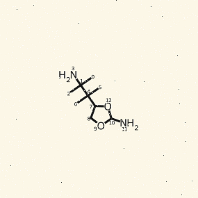 CC(C)(N)C(C)(C)C1COC(N)O1